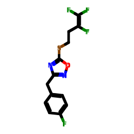 FC(F)=C(F)CCSc1nc(Cc2ccc(F)cc2)no1